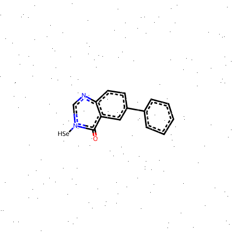 O=c1c2cc(-c3ccccc3)ccc2ncn1[SeH]